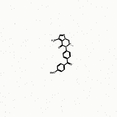 COc1ccc(C(=O)c2ccc(N3C(=O)c4c(N)cnn4C[C@@H]3C)cc2)cc1